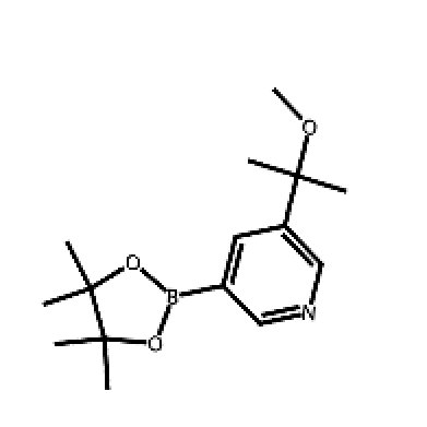 COC(C)(C)c1cncc(B2OC(C)(C)C(C)(C)O2)c1